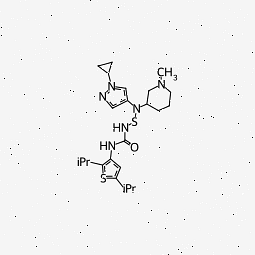 CC(C)c1cc(NC(=O)NSN(c2cnn(C3CC3)c2)C2CCCN(C)C2)c(C(C)C)s1